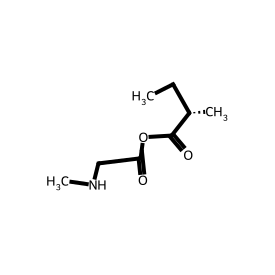 CC[C@H](C)C(=O)OC(=O)CNC